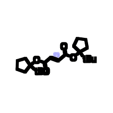 CC(C)(C)C1(OC(=O)/C=C/C(=O)OC2(C(C)(C)C)CCCC2)CCCC1